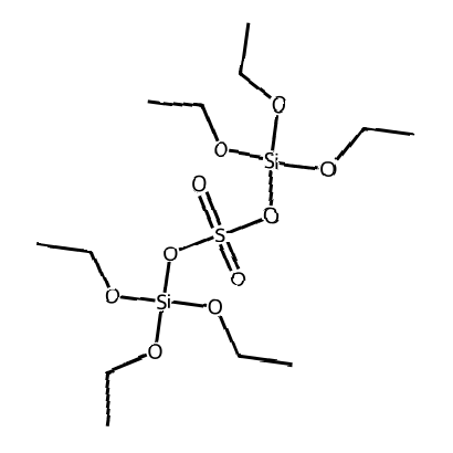 CCO[Si](OCC)(OCC)OS(=O)(=O)O[Si](OCC)(OCC)OCC